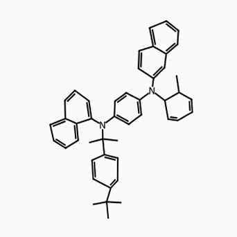 CC1C=CC=CC1N(c1ccc(N(c2cccc3ccccc23)C(C)(C)c2ccc(C(C)(C)C)cc2)cc1)c1ccc2ccccc2c1